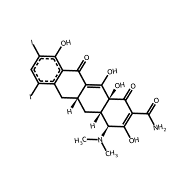 CN(C)[C@@H]1C(O)=C(C(N)=O)C(=O)[C@@]2(O)C(O)=C3C(=O)c4c(O)c(I)cc(I)c4C[C@H]3C[C@@H]12